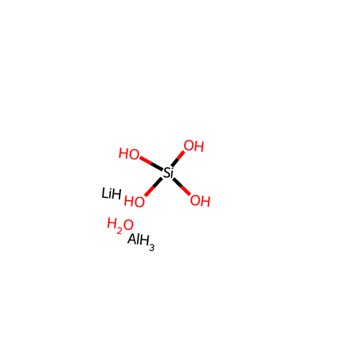 O.O[Si](O)(O)O.[AlH3].[LiH]